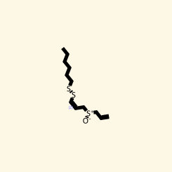 C=CC[S+]([O-])C/C=C\SSCCCCCC